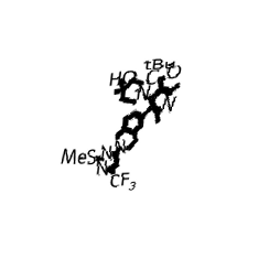 CSc1nc(N2CCc3cc(-c4c(C)nc(C)c(C(OC(C)(C)C)C(=O)O)c4N4CCC(C)(C)CC4)ccc3C2)cc(C(F)(F)F)n1